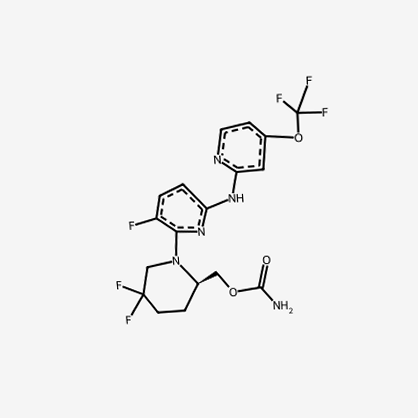 NC(=O)OC[C@H]1CCC(F)(F)CN1c1nc(Nc2cc(OC(F)(F)F)ccn2)ccc1F